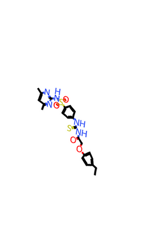 CCc1ccc(OCC(=O)NC(=S)Nc2ccc(S(=O)(=O)Nc3nc(C)cc(C)n3)cc2)cc1